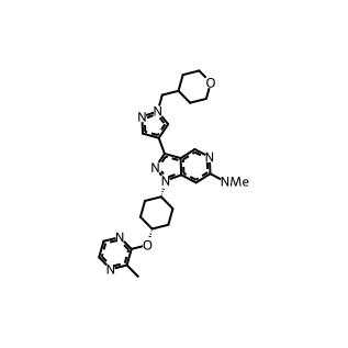 CNc1cc2c(cn1)c(-c1cnn(CC3CCOCC3)c1)nn2[C@H]1CC[C@@H](Oc2nccnc2C)CC1